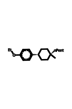 CCCCC[C@]1(C)CC[C@H](c2ccc(OCC)cc2)CC1